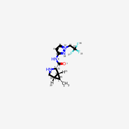 C[C@@H]1[C@@H]2CN[C@H](C(=O)Nc3ccn(CC(F)(F)F)n3)[C@H]12